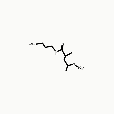 CCCCCCCCCCCCNC(=O)C(C)CC(C)OS(=O)(=O)O